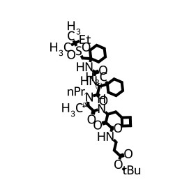 CCCN(C(=O)[C@@H](NC(=O)NC1(CS(=O)(=O)C(C)(C)CC)CCCCC1)C1(C)CCCCC1)[C@@H](C)C(=O)NC(CC1CCC1)C(=O)C(=O)NCCC(=O)OC(C)(C)C